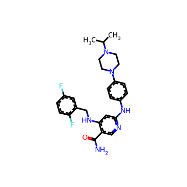 CC(C)N1CCN(c2ccc(Nc3cc(NCc4cc(F)ccc4F)c(C(N)=O)cn3)cc2)CC1